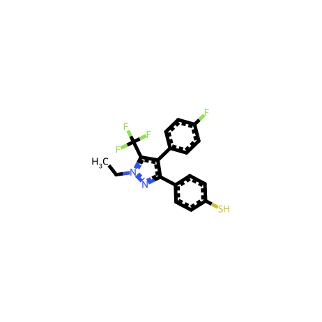 CCn1nc(-c2ccc(S)cc2)c(-c2ccc(F)cc2)c1C(F)(F)F